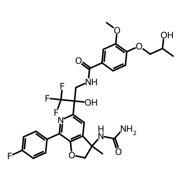 COc1cc(C(=O)NCC(O)(c2cc3c(c(-c4ccc(F)cc4)n2)OCC3(C)NC(N)=O)C(F)(F)F)ccc1OCC(C)O